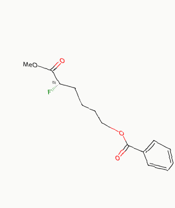 COC(=O)[C@@H](F)CCCCOC(=O)c1ccccc1